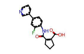 O=C(O)C1=C(C(=O)Nc2ccc(-c3cccnc3)cc2F)CCC1